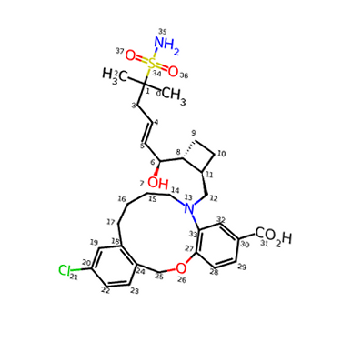 CC(C)(C/C=C/[C@H](O)[C@@H]1CC[C@H]1CN1CCCCc2cc(Cl)ccc2COc2ccc(C(=O)O)cc21)S(N)(=O)=O